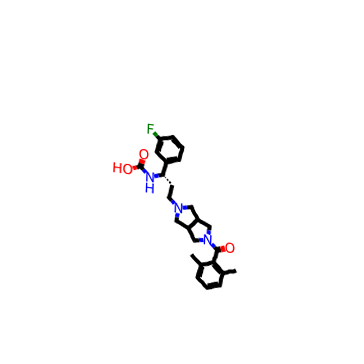 Cc1cccc(C)c1C(=O)N1CC2CN(CC[C@H](NC(=O)O)c3cccc(F)c3)CC2C1